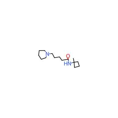 CC1(NC(=O)CCCCN2CCCCC2)CCC1